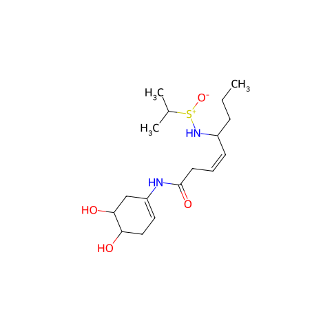 CCCC(/C=C\CC(=O)NC1=CCC(O)C(O)C1)N[S+]([O-])C(C)C